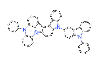 c1ccc(N2c3ccccc3-n3c4ccc5c(c6ccccc6n5-c5ccc6c(c5)c5ccccc5n6-c5ccccc5)c4c4cccc2c43)cc1